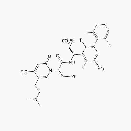 CCOC(=O)C[C@H](NC(=O)C(CC(C)C)n1cc(CCN(C)C)c(C(F)(F)F)cc1=O)c1c(F)c(-c2c(C)cccc2C)cc(C(F)(F)F)c1F